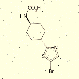 O=C(O)N[C@H]1CC[C@H](c2ncc(Br)s2)CC1